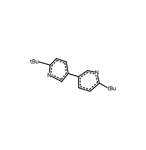 CC(C)(C)c1ccc(-c2ccc(C(C)(C)C)nc2)cn1